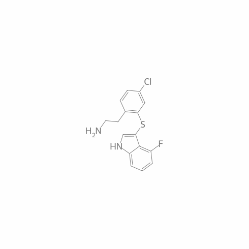 NCCc1ccc(Cl)cc1Sc1c[nH]c2cccc(F)c12